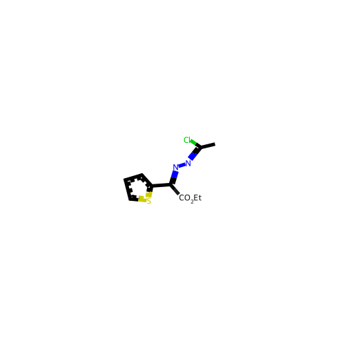 CCOC(=O)C(=NN=C(C)Cl)c1cccs1